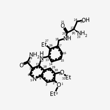 CCOc1cc2ncc(C(N)=O)c(Nc3cccc(CNC(=O)[C@H](N)CO)c3CC)c2cc1OCC